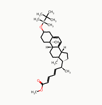 COC(=O)/C=C/C=C/[C@H](C)[C@H]1CC[C@H]2C3=CC=C4CC(O[Si](C)(C)C(C)(C)C)CC[C@]4(C)[C@H]3CC[C@]12C